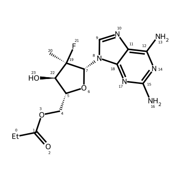 CCC(=O)OC[C@H]1O[C@@H](n2cnc3c(N)nc(N)nc32)[C@](C)(F)[C@@H]1O